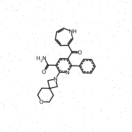 NC(=O)c1cc(C(=O)C2=CNC=CC=C2)c(-c2ccccc2)nc1N1CC2(CCOCC2)C1